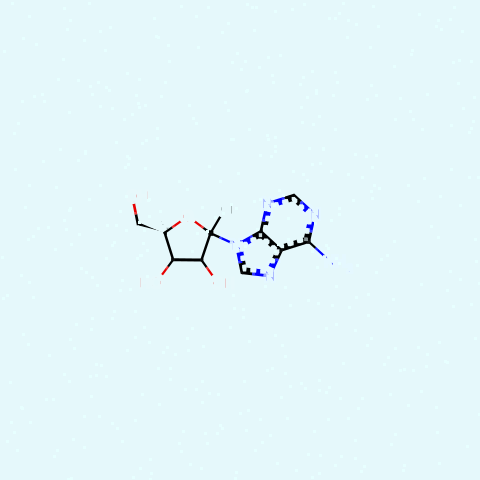 CC1(n2cnc3c(N)ncnc32)O[C@H](CO)C(O)C1O